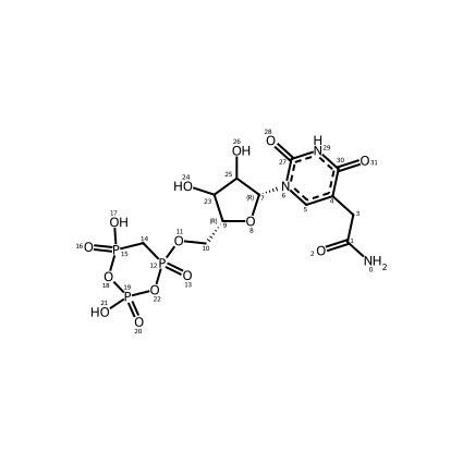 NC(=O)Cc1cn([C@@H]2O[C@H](COP3(=O)CP(=O)(O)OP(=O)(O)O3)C(O)C2O)c(=O)[nH]c1=O